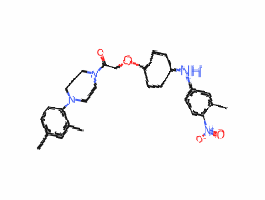 Cc1ccc(N2CCN(C(=O)COC3CCC(Nc4ccc([N+](=O)[O-])c(C)c4)CC3)CC2)c(C)c1